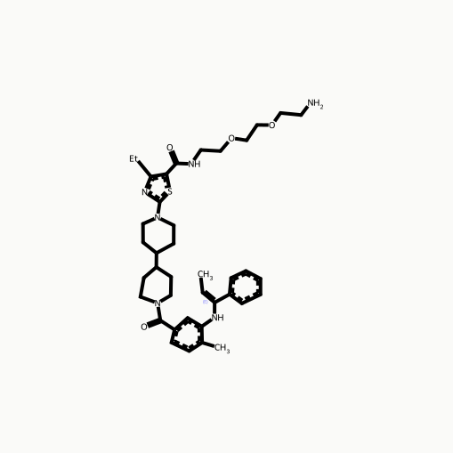 C/C=C(/Nc1cc(C(=O)N2CCC(C3CCN(c4nc(CC)c(C(=O)NCCOCCOCCN)s4)CC3)CC2)ccc1C)c1ccccc1